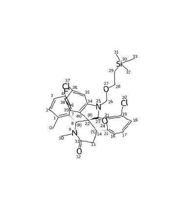 Cc1ccc(F)cc1[C@H]1N(C)C(=O)C[C@@H](c2cccc(Cl)c2)[C@]12C(=O)N(COCC[Si](C)(C)C)c1cc(Cl)ccc12